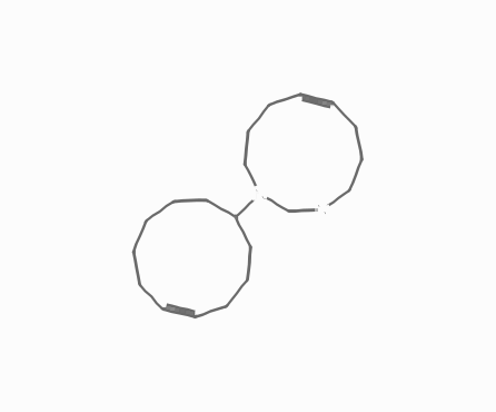 C1=CCCCC(N2CCCC=CCCCNC2)CCCCC1